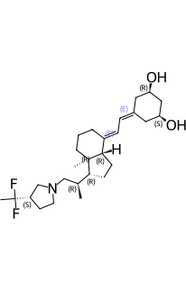 C[C@@H](CN1CC[C@H](C(C)(F)F)C1)[C@H]1CC[C@H]2/C(=C/C=C3/C[C@@H](O)C[C@@H](O)C3)CCC[C@]12C